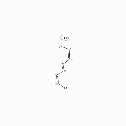 CC\C=C/C=C/C=C\CC(=O)O